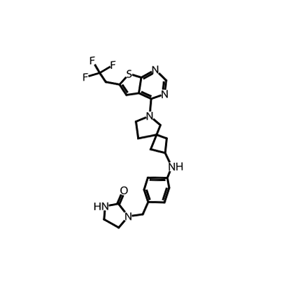 O=C1NCCN1Cc1ccc(NC2CC3(CCN(c4ncnc5sc(CC(F)(F)F)cc45)C3)C2)cc1